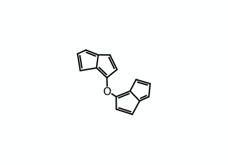 C1=CC2=C(OC3=C4C=CC=C4C=C3)C=CC2=C1